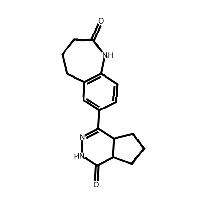 O=C1CCCc2cc(C3=NNC(=O)C4CCCC34)ccc2N1